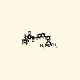 C[C@@H]1CN(c2cccc(-c3ccc4cnc(CNC(=O)c5cc(Cl)c6c(c5)N(S(=O)(=O)C(F)F)CC6)cc4n3)n2)C[C@H](C)O1